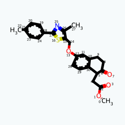 COC(=O)CC1C(=O)CCc2cc(OCc3sc(-c4ccc(C)cc4)nc3C)ccc21